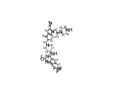 COc1nc(NC2CCN(Cc3ccc4c(cc(C#N)n4C[C@H](C)N4CCNCC4)c3C)CC2)c2cc(CC(F)(F)F)sc2n1